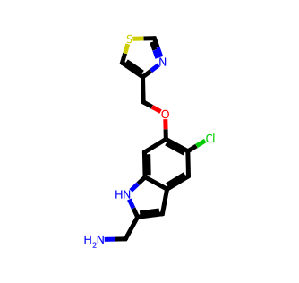 NCc1cc2cc(Cl)c(OCc3cscn3)cc2[nH]1